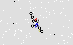 c1ccc(-c2ccc(-c3cccc4c3oc3cccc(-c5nc(-c6ccccc6)nc(-c6ccc7c(c6)sc6ccccc67)n5)c34)cc2)cc1